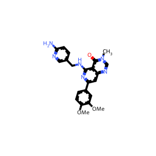 COc1ccc(-c2cc3ncn(C)c(=O)c3c(NCc3ccc(N)nc3)n2)cc1OC